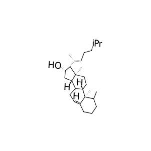 CC(C)CCC[C@@H](C)[C@H]1[C@@H](O)C[C@H]2[C@@H]3CC=C4CCCC(C)[C@]4(C)[C@H]3CC[C@]12C